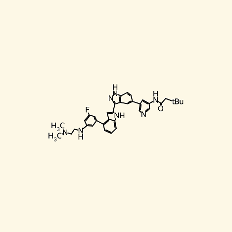 CN(C)CCNc1cc(F)cc(-c2cccc3[nH]c(-c4n[nH]c5ccc(-c6cncc(NC(=O)CC(C)(C)C)c6)cc45)cc23)c1